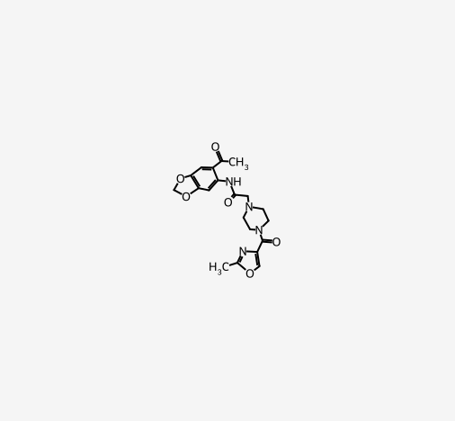 CC(=O)c1cc2c(cc1NC(=O)CN1CCN(C(=O)c3coc(C)n3)CC1)OCO2